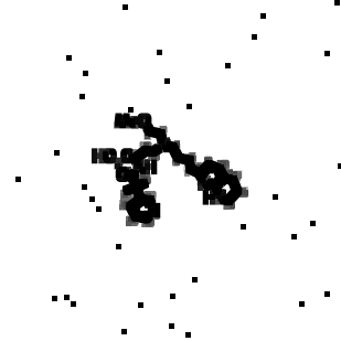 COCCN(CCCCc1ccc2c(n1)NCCC2)CC[C@H](NC(=O)C(C)(C)c1cccnc1)C(=O)O